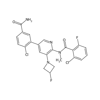 CN(C(=O)c1c(F)cccc1Cl)c1ncc(-c2cc(C(N)=O)ccc2Cl)cc1N1CC(F)C1